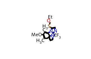 CCOCSc1cnc2n1C1=C(C)C(OC)=C(C)CC13C=CC=C[N+]23C(F)(F)F